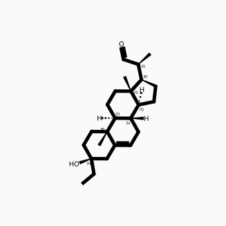 CC[C@]1(O)CC[C@@]2(C)C(=CC[C@H]3[C@@H]4CC[C@H]([C@H](C)C=O)[C@@]4(C)CC[C@@H]32)C1